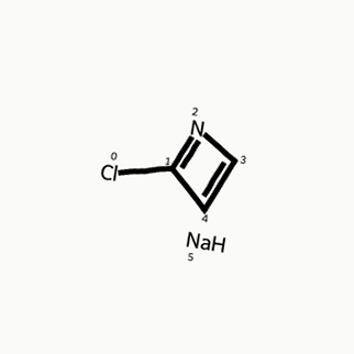 ClC1=NC=C1.[NaH]